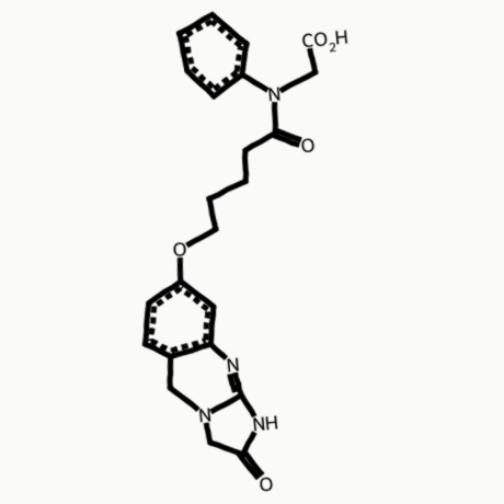 O=C(O)CN(C(=O)CCCCOc1ccc2c(c1)N=C1NC(=O)CN1C2)c1ccccc1